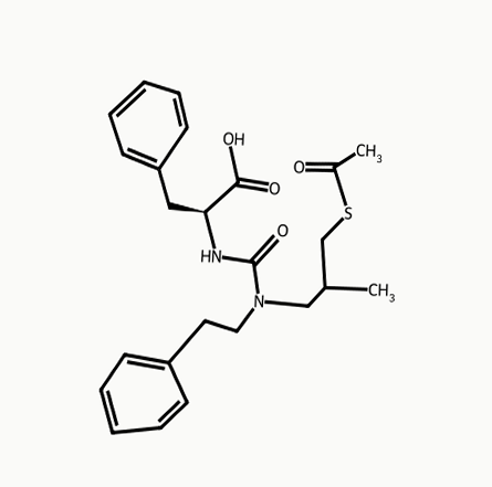 CC(=O)SCC(C)CN(CCc1ccccc1)C(=O)N[C@@H](Cc1ccccc1)C(=O)O